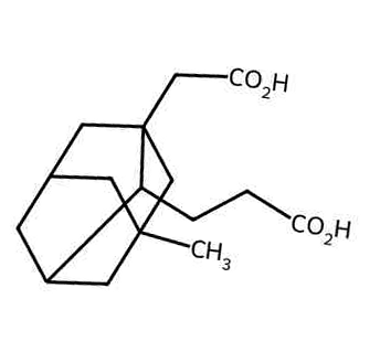 CC12CC3CC(C1)C(CCC(=O)O)C(CC(=O)O)(C3)C2